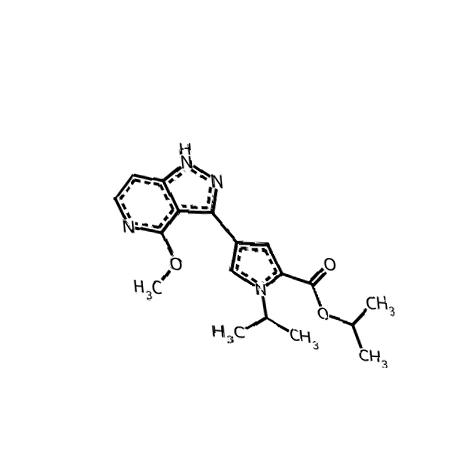 COc1nccc2[nH]nc(-c3cc(C(=O)OC(C)C)n(C(C)C)c3)c12